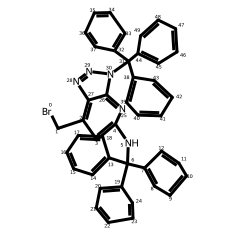 BrCc1cc(NC(c2ccccc2)(c2ccccc2)c2ccccc2)nc2c1nnn2C(c1ccccc1)(c1ccccc1)c1ccccc1